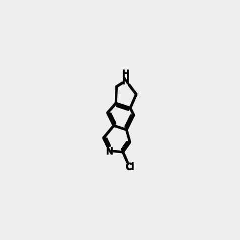 Clc1cc2cc3c(cc2cn1)CNC3